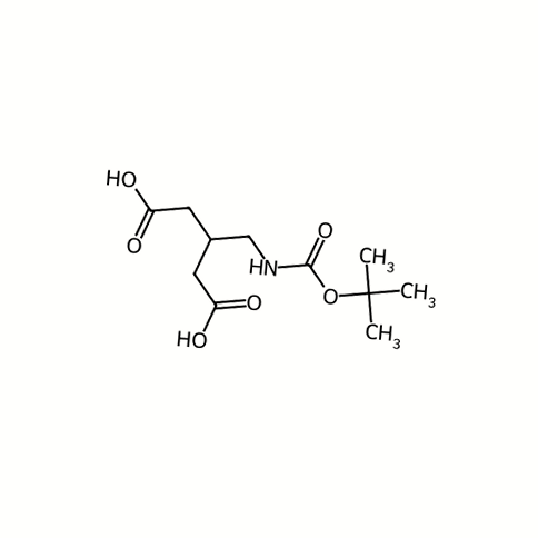 CC(C)(C)OC(=O)NCC(CC(=O)O)CC(=O)O